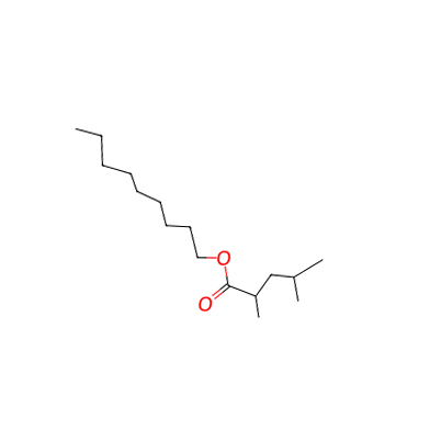 CCCCCCCCCOC(=O)C(C)CC(C)C